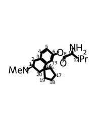 CN[C@H]1Cc2ccc(OC(=O)C(N)C(C)C)cc2C2(CCCC2)C1